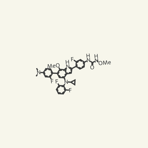 CONC(=O)Nc1ccc(-c2cc3c(N(c4c(F)cccc4F)C4CC4)cc(-c4ccc(N(C)C)cc4F)c(OC)c3[nH]2)c(F)c1